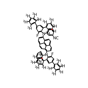 [2H]c1c([2H])c([2H])c(-c2cc(F)c(N(c3cccc(C#N)c3)c3ccc4ccc5c(N(c6cccc([N+]#[C-])c6)c6c(F)cc(-c7c([2H])c([2H])c([2H])c([2H])c7[2H])cc6-c6c([2H])c([2H])c([2H])c([2H])c6[2H])ccc6ccc3c4c65)c(-c3c([2H])c([2H])c([2H])c([2H])c3[2H])c2)c([2H])c1[2H]